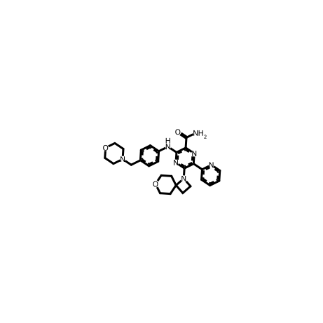 NC(=O)c1nc(-c2ccccn2)c(N2CCC23CCOCC3)nc1Nc1ccc(CN2CCOCC2)cc1